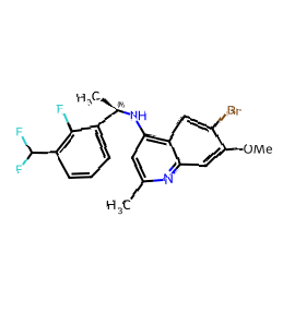 COc1cc2nc(C)cc(N[C@H](C)c3cccc(C(F)F)c3F)c2cc1Br